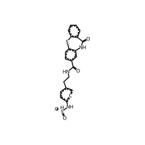 O=C(NCCc1ccc(N[SH](=O)=O)cc1)c1ccc2c(c1)NC(=O)c1ccccc1S2